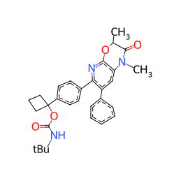 CC1Oc2nc(-c3ccc(C4(OC(=O)NC(C)(C)C)CCC4)cc3)c(-c3ccccc3)cc2N(C)C1=O